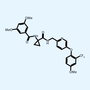 COc1cc(OC)cc(C(=O)NC2(C(=O)NCc3ccc(Oc4ccc(OC)cc4C(F)(F)F)cn3)CC2)c1